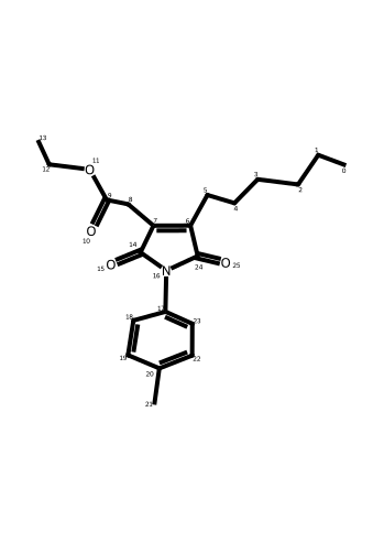 CCCCCCC1=C(CC(=O)OCC)C(=O)N(c2ccc(C)cc2)C1=O